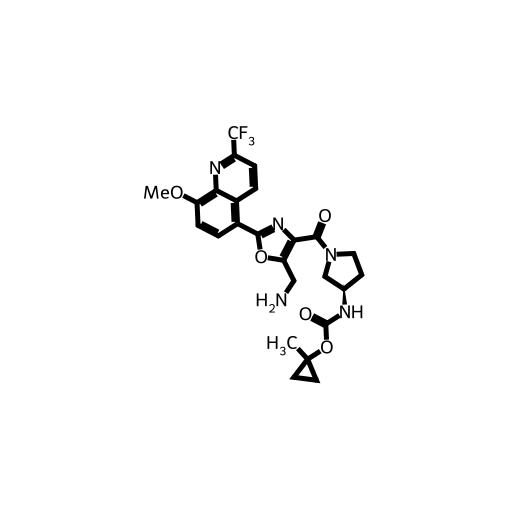 COc1ccc(-c2nc(C(=O)N3CC[C@@H](NC(=O)OC4(C)CC4)C3)c(CN)o2)c2ccc(C(F)(F)F)nc12